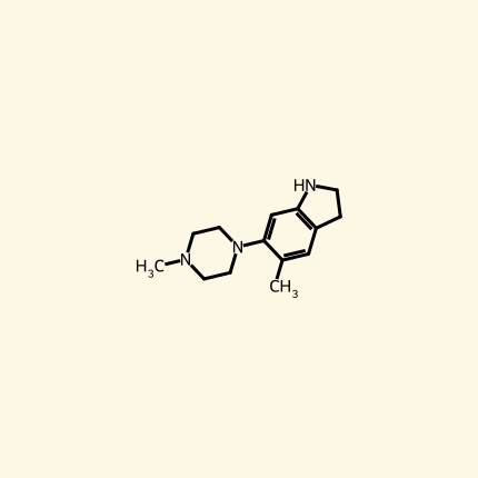 Cc1cc2c(cc1N1CCN(C)CC1)NCC2